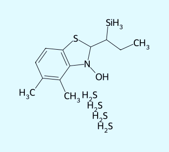 CCC([SiH3])C1Sc2ccc(C)c(C)c2N1O.S.S.S.S